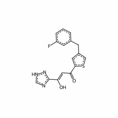 O=C(C=C(O)c1nc[nH]n1)c1cc(Cc2cccc(F)c2)cs1